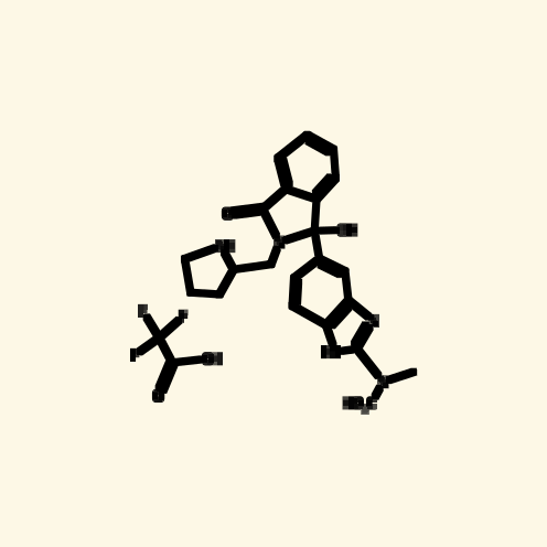 CN(C(=O)O)c1nc2cc(C3(O)c4ccccc4C(=O)N3CC3CCCN3)ccc2[nH]1.O=C(O)C(F)(F)F